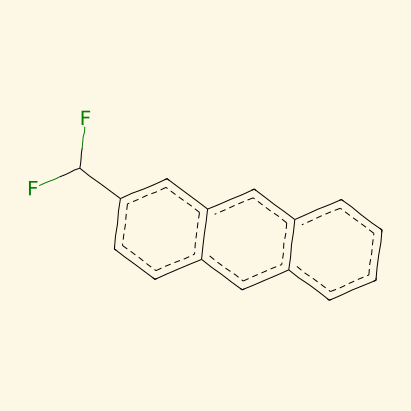 FC(F)c1ccc2cc3ccccc3cc2c1